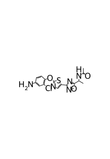 CC(=O)NC(C)c1nc(-c2cnc(Oc3ccc(N)cc3Cl)s2)no1